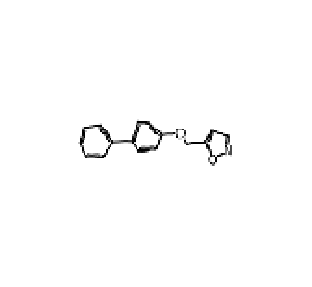 c1ccc(-c2ccc(OCc3ccno3)cc2)cc1